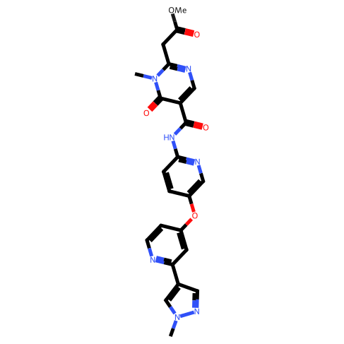 COC(=O)Cc1ncc(C(=O)Nc2ccc(Oc3ccnc(-c4cnn(C)c4)c3)cn2)c(=O)n1C